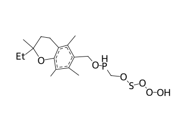 CCC1(C)CCc2c(C)c(COPCOSOOO)c(C)c(C)c2O1